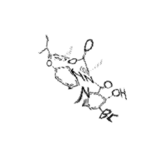 CC(C)[C@@H](Oc1ccccc1)[C@H](C)OC(=O)[C@H](C)NC(=O)c1nccc(Br)c1O